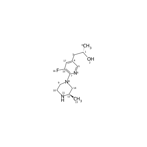 C[C@H](O)Cc1cnc(N2CCN[C@H](C)C2)c(F)c1